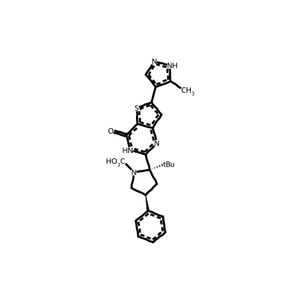 Cc1[nH]ncc1-c1cc2nc([C@@]3(C(C)(C)C)C[C@@H](c4ccccc4)CN3C(=O)O)[nH]c(=O)c2s1